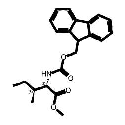 CC[C@H](C)[C@H](NC(=O)OCC1c2ccccc2-c2ccccc21)C(=O)OC